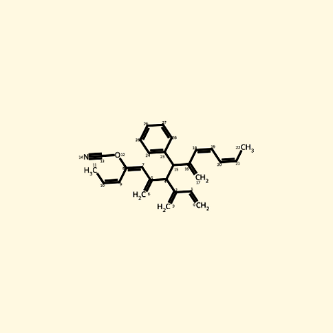 C=CC(=C)C(C(=C)/C=C(\C=C/C)OC#N)C(C(=C)/C=C\C=C/C)c1ccccc1